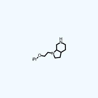 CC(C)OCCN1CCC2CCNCC21